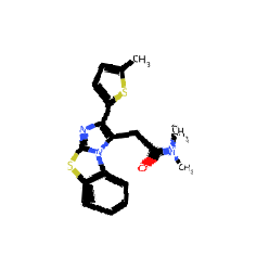 Cc1ccc(-c2nc3sc4ccccc4n3c2CC(=O)N(C)C)s1